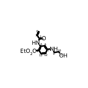 C=CC(=O)Nc1cc(NCCO)ccc1C(=O)OCC